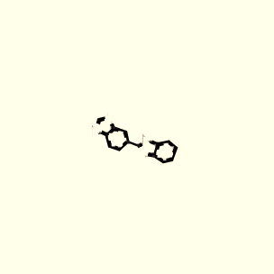 [c]1ccc2sc(-c3ccc4ncsc4c3)nc2c1